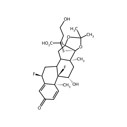 CC1(C)O[C@@H]2CC3C4C[C@H](F)C5=CC(=O)C=C[C@]5(C)[C@@]4(F)[C@@H](O)C[C@]3(C)[C@]2(SC(CCO)C(=O)O)O1